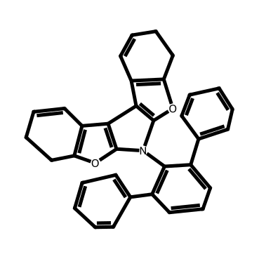 C1=Cc2c(oc3c2c2c4c(oc2n3-c2c(-c3ccccc3)cccc2-c2ccccc2)CCC=C4)CC1